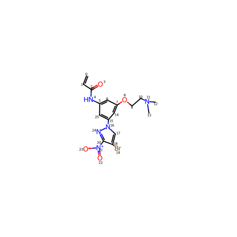 C=CC(=O)Nc1cc(OCCN(C)C)cc(-n2cc(Br)c([N+](=O)[O-])n2)c1